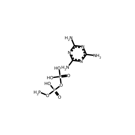 Nc1nc(N)nc(N)n1.O=P(O)(O)OP(=O)(O)OP